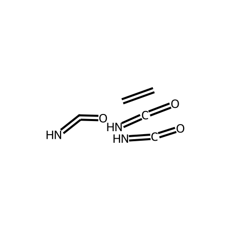 C=C.N=C=O.N=C=O.N=C=O